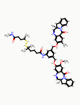 CNC(=O)CCC(C)SSC(C)(C)CCCC(=O)Nc1cc(COc2cc3c(cc2C)C(=O)N2c4ccccc4C[C@H]2C=N3)cc(COc2cc3c(cc2OC)C(=O)N2c4ccccc4C[C@H]2C=N3)c1